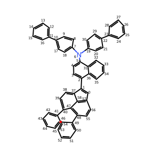 C1=C(c2ccc(N(c3ccc(-c4ccccc4)cc3)c3ccc(-c4ccccc4)cc3)c3ccccc23)c2ccc(-c3ccccc3)c3c(-c4ccccc4)ccc1c23